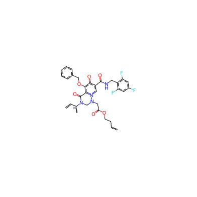 C=CCCOC(=O)CN1CN([C@@H](C)C=C)C(=O)c2c(OCc3ccccc3)c(=O)c(C(=O)NCc3c(F)cc(F)cc3F)cn21